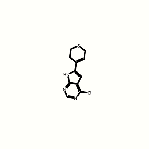 Clc1ncnc2[nH]c(C3=CCSCC3)cc12